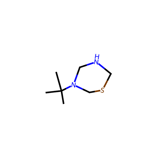 CC(C)(C)N1CNCSC1